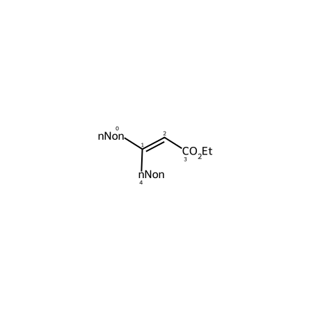 CCCCCCCCCC(=CC(=O)OCC)CCCCCCCCC